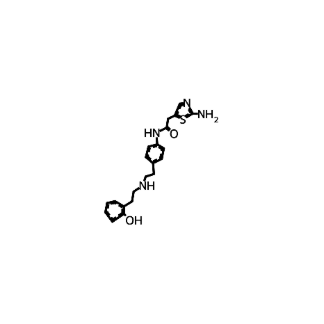 Nc1ncc(CC(=O)Nc2ccc(CCNCCc3ccccc3O)cc2)s1